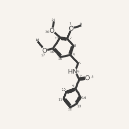 COc1cc(CNC(=O)c2ccccc2)cc(OC)c1OC